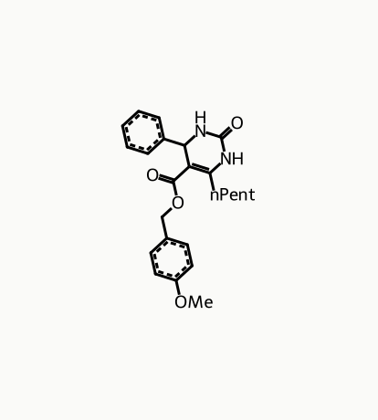 CCCCCC1=C(C(=O)OCc2ccc(OC)cc2)C(c2ccccc2)NC(=O)N1